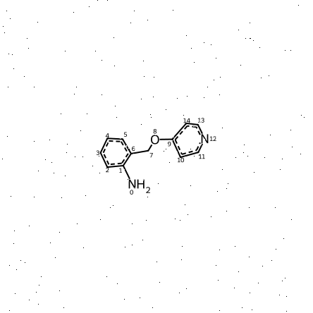 Nc1ccccc1COc1ccncc1